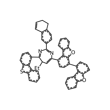 CCC1C=C(c2ccc(-c3cccc4oc5ccccc5c34)c3oc4ccccc4c23)N=C(c2ccc3c(c2)C=CCC3)N=C1c1cccc2sc3ccccc3c12